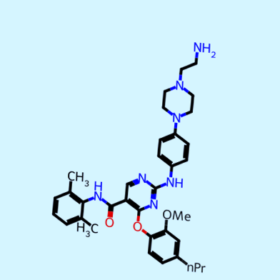 CCCc1ccc(Oc2nc(Nc3ccc(N4CCN(CCN)CC4)cc3)ncc2C(=O)Nc2c(C)cccc2C)c(OC)c1